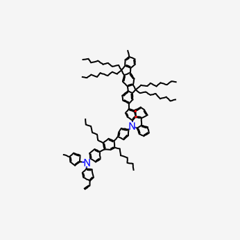 C=Cc1ccc(N(c2ccc(C)cc2)c2ccc(-c3cc(CCCCCC)c(-c4ccc(N(c5ccc(-c6ccc7c(c6)C(CCCCCCCC)(CCCCCCCC)c6cc8c(cc6-7)C(CCCCCCCC)(CCCCCCCC)c6cc(C)ccc6-8)cc5)c5ccccc5-c5ccccc5)cc4)cc3CCCCCC)cc2)cc1